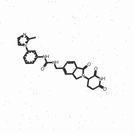 Cc1nccn1-c1cccc(NC(=O)NCC2=CC3CN(C4CCC(=O)NC4=O)C(=O)C3C=C2)c1